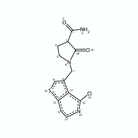 NC(=O)C1CCN(Cc2csc3ccnc(Cl)c23)C1=O